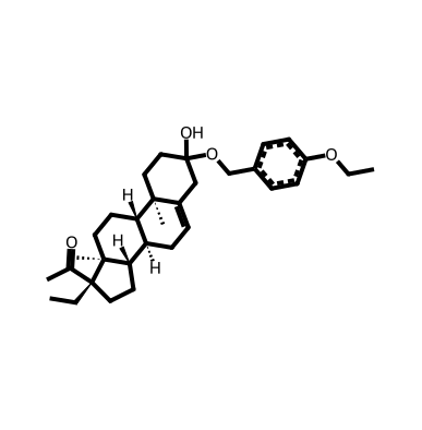 CCOc1ccc(COC2(O)CC[C@@]3(C)C(=CC[C@@H]4[C@@H]3CC[C@@]3(C)[C@H]4CC[C@]3(CC)C(C)=O)C2)cc1